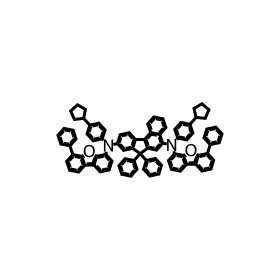 c1ccc(-c2cccc3c2oc2c(N(c4ccc(C5CCCC5)cc4)c4ccc5c(c4)C(c4ccccc4)(c4ccccc4)c4cc(N(c6ccc(C7CCCC7)cc6)c6cccc7c6oc6c(-c8ccccc8)cccc67)c6ccccc6c4-5)cccc23)cc1